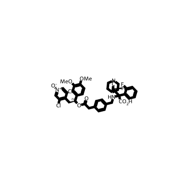 COc1ccc([C@H](Cc2c(Cl)c[n+]([O-])cc2Cl)OC(=O)Cc2ccc(CNC(C(=O)O)(c3ccccc3F)[C@H]3CN4CCC3CC4)cc2)cc1OC